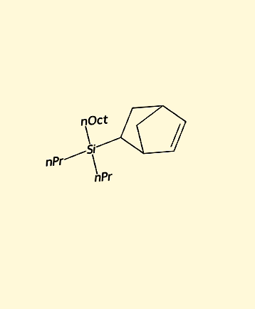 CCCCCCCC[Si](CCC)(CCC)C1CC2C=CC1C2